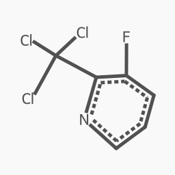 Fc1cccnc1C(Cl)(Cl)Cl